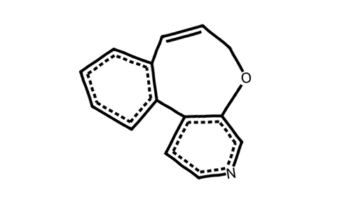 C1=Cc2ccccc2-c2ccncc2OC1